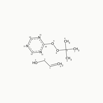 C=CCO.CC(C)(C)OOc1ncncn1